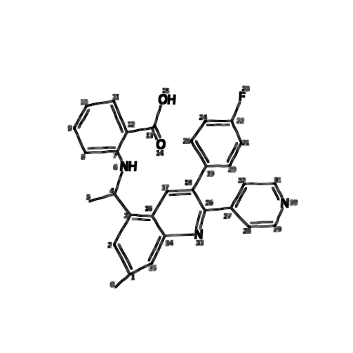 Cc1cc(C(C)Nc2ccccc2C(=O)O)c2cc(-c3ccc(F)cc3)c(-c3ccncc3)nc2c1